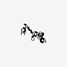 C=CC(c1cccnc1)S(=O)(=O)N1CCN(CCCCN(CC)C(C)CC(F)(F)F)C(C=O)C1